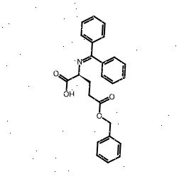 O=C(CC[C@H](N=C(c1ccccc1)c1ccccc1)C(=O)O)OCc1ccccc1